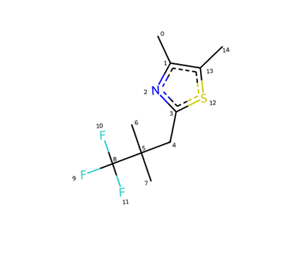 Cc1nc(CC(C)(C)C(F)(F)F)sc1C